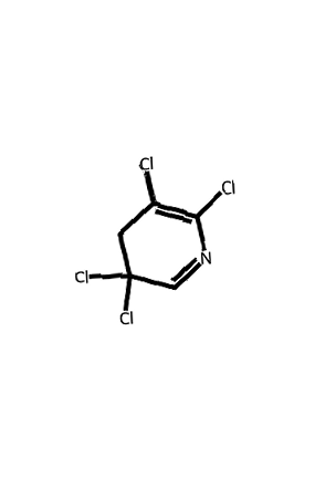 ClC1=C(Cl)N=CC(Cl)(Cl)C1